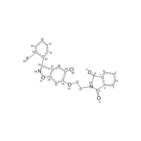 O=C1c2ccccc2C(=O)N1CCOc1cc2onc(-c3ccccc3F)c2cc1Cl